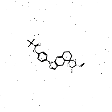 C=C[C@H]1OC2(CCCC3=Cc4c(cnn4-c4ccc(OC(=O)C(C)(C)C)cc4)C[C@@]32C)O[C@@H]1C